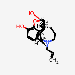 C=CCN1CCC[C@]23c4c5ccc(O)c4O[C@H]2[C@@H](O)C=C[C@H]3[C@H]1C5